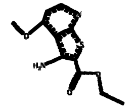 CCOC(=O)c1sc2nccc(OC)c2c1N